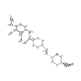 CCCCC[C@H]1CC[C@H](/C=C/C2CCC(C(=O)Oc3ccc(OCC)c(F)c3F)CC2)CC1